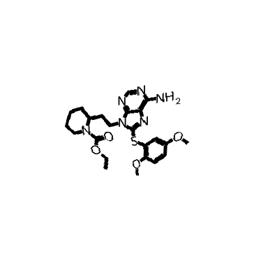 CCOC(=O)N1CCCCC1CCn1c(Sc2cc(OC)ccc2OC)nc2c(N)ncnc21